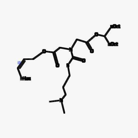 CCCCCC/C=C\COC(=O)CN(CC(=O)OC(CCCCCCCC)CCCCCCCC)C(=O)SCCCN(C)C